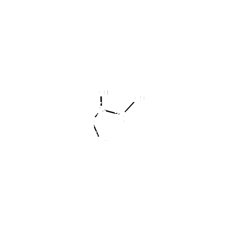 CON(C)SC